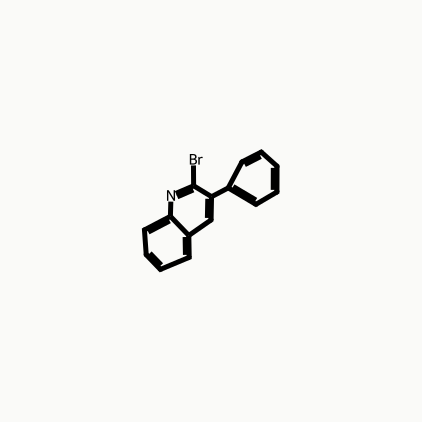 Brc1nc2ccccc2cc1-c1ccccc1